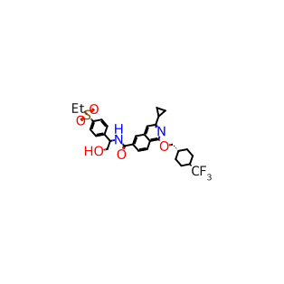 CCS(=O)(=O)c1ccc(C(CO)NC(=O)c2ccc3c(OC[C@H]4CC[C@H](C(F)(F)F)CC4)nc(C4CC4)cc3c2)cc1